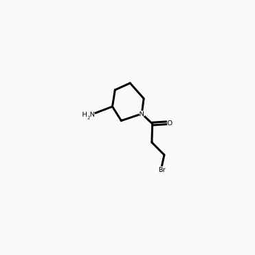 NC1CCCN(C(=O)CCBr)C1